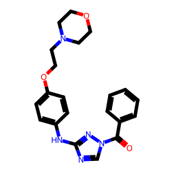 O=C(c1ccccc1)n1cnc(Nc2ccc(OCCN3CCOCC3)cc2)n1